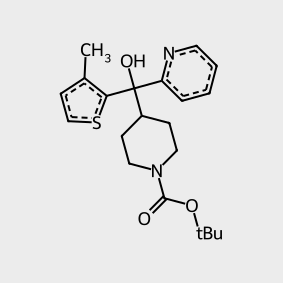 Cc1ccsc1C(O)(c1ccccn1)C1CCN(C(=O)OC(C)(C)C)CC1